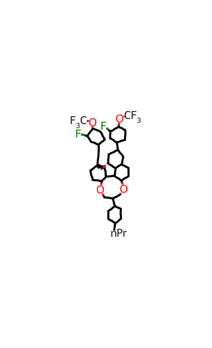 CCCC1CCC(C2COC3CCC4CC(C5CCC(OC(F)(F)F)C(F)C5)CCC4C3C3C(CCC4CC(C5CCC(OC(F)(F)F)C(F)C5)CCC43)OC2)CC1